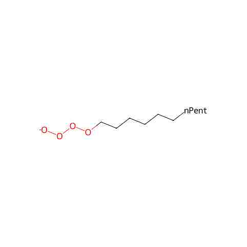 CCCCCCCCCCCOOO[O]